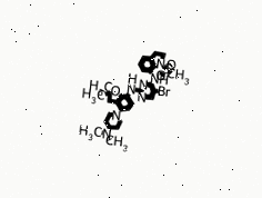 CN(C)C1CCN(c2ccc(Nc3ncc(Br)c(Nc4cccc5c4N(S(C)(=O)=O)CC5)n3)c3c2CC(C)(C)O3)CC1